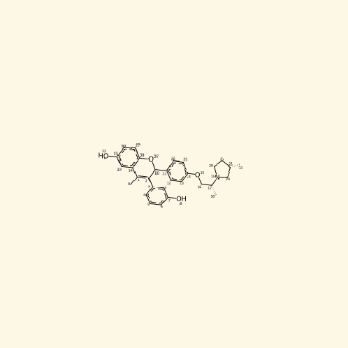 CC1=C(c2cccc(O)c2)C(c2ccc(OC[C@@H](C)N3CC[C@H](C)C3)cc2)Oc2ccc(O)cc21